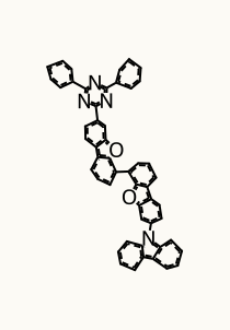 c1ccc(-c2nc(-c3ccccc3)nc(-c3ccc4c(c3)oc3c(-c5cccc6c5oc5cc(-n7c8ccccc8c8ccccc87)ccc56)cccc34)n2)cc1